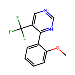 COc1ccccc1-c1ncncc1C(F)(F)F